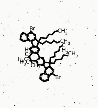 CCCCCCC1(CCCCCC)c2cc3c(cc2-c2c1cc(Br)c1ccccc21)C(C)(C)C(C)(C)c1cc2c(cc1-3)C(CCCCCC)(CCCCCC)c1cc(Br)c3ccccc3c1-2